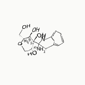 NC1([C@]2(O)[C@H](O)CO[C@H](CO)[C@H]2O)[CH]c2ccccc2N1